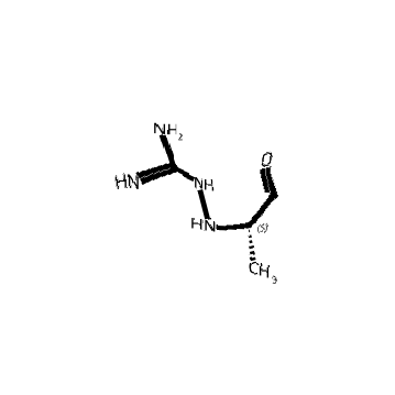 C[C@@H](C=O)NNC(=N)N